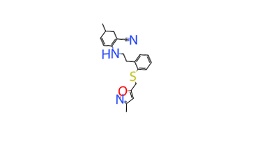 Cc1cc(CSc2ccccc2CCNC2=C(C#N)CC(C)C=C2)on1